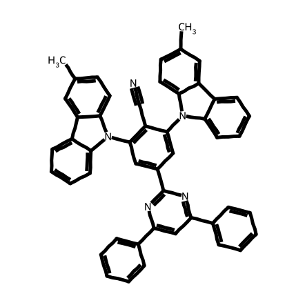 Cc1ccc2c(c1)c1ccccc1n2-c1cc(-c2nc(-c3ccccc3)cc(-c3ccccc3)n2)cc(-n2c3ccccc3c3cc(C)ccc32)c1C#N